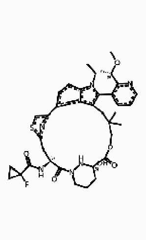 CCn1c(-c2cccnc2[C@H](C)OC)c2c3cc(ccc31)-c1csc(n1)C[C@H](NC(=O)C1(F)CC1)C(=O)N1CCC[C@@](O)(N1)C(=O)OCC(C)(C)C2